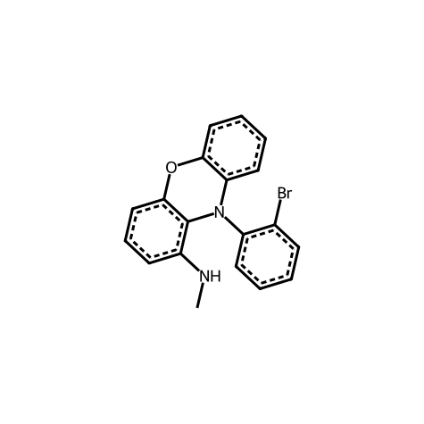 CNc1cccc2c1N(c1ccccc1Br)c1ccccc1O2